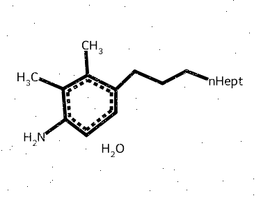 CCCCCCCCCCc1ccc(N)c(C)c1C.O